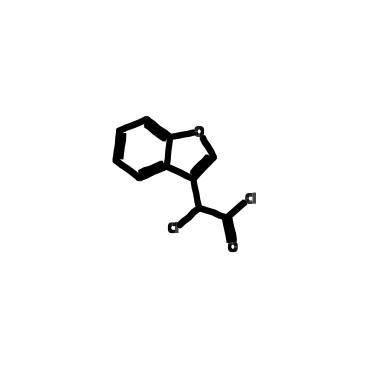 O=C(Cl)C(Cl)c1coc2ccccc12